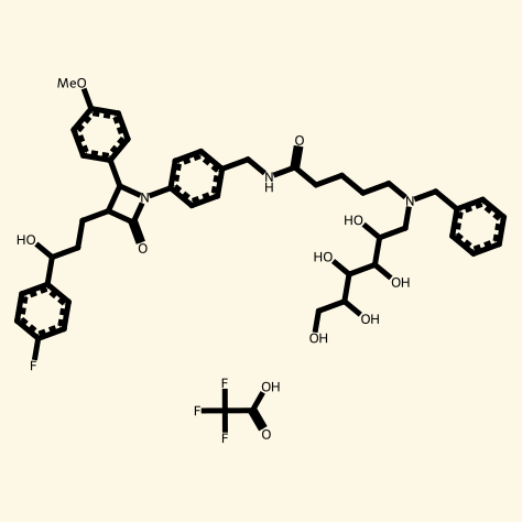 COc1ccc(C2C(CCC(O)c3ccc(F)cc3)C(=O)N2c2ccc(CNC(=O)CCCCN(Cc3ccccc3)CC(O)C(O)C(O)C(O)CO)cc2)cc1.O=C(O)C(F)(F)F